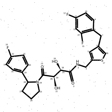 O=C(NCc1cc(Cc2ccc(F)cc2F)cs1)[C@H](O)[C@@H](O)C(=O)N1CCCC1c1ccc(F)cc1